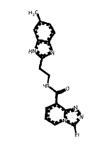 CCc1nnc2c(C(=O)NCCc3nc4ccc(C)cc4[nH]3)cccn12